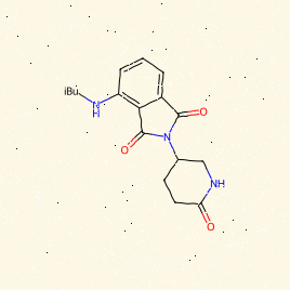 CCC(C)Nc1cccc2c1C(=O)N(C1CCC(=O)NC1)C2=O